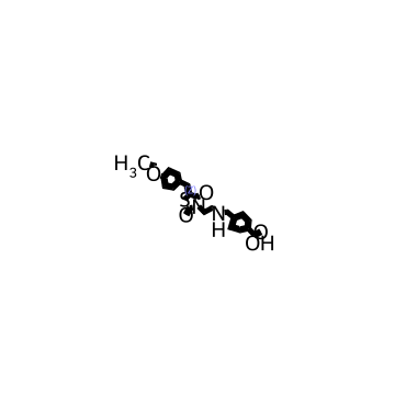 CCOc1ccc(/C=C2\SC(=O)N(CCNCc3ccc(C(=O)O)cc3)C2=O)cc1